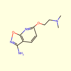 CN(C)CCOc1ccc2c(N)noc2n1